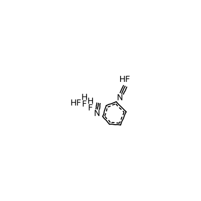 C#N.C#N.F.F.F.F.c1ccccc1